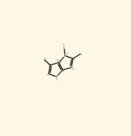 Cc1csc2nc(C)n(I)c12